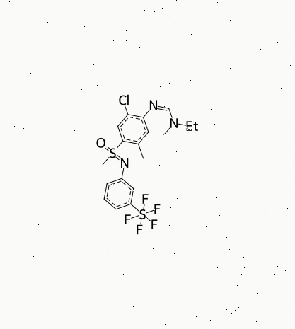 CCN(C)/C=N\c1cc(C)c(S(C)(=O)=Nc2cccc(S(F)(F)(F)(F)F)c2)cc1Cl